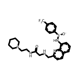 O=C(CNCc1ccc2cccc(N[S+]([O-])c3ccc(C(F)(F)F)cc3)c2n1)NCCN1CCCCC1